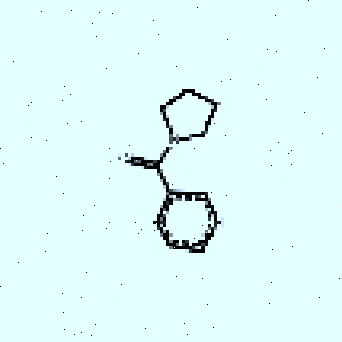 O=C(c1cc[c]nc1)N1CCCC1